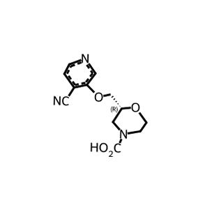 N#Cc1ccncc1OC[C@H]1CN(C(=O)O)CCO1